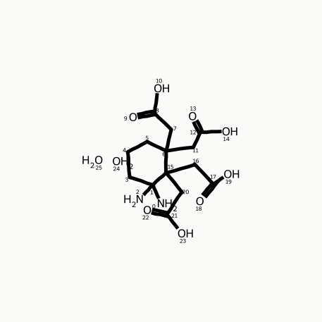 NC1(N)CCCC(CC(=O)O)(CC(=O)O)C1(CC(=O)O)CC(=O)O.O.O